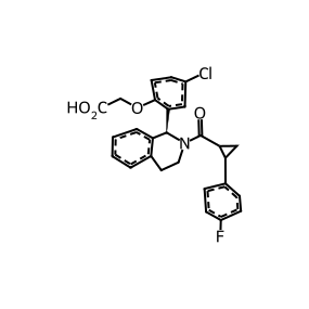 O=C(O)COc1ccc(Cl)cc1[C@@H]1c2ccccc2CCN1C(=O)C1CC1c1ccc(F)cc1